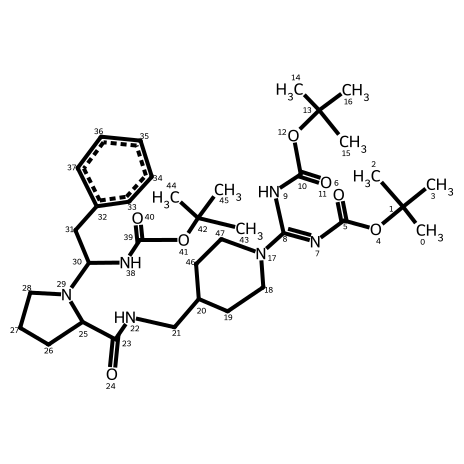 CC(C)(C)OC(=O)/N=C(\NC(=O)OC(C)(C)C)N1CCC(CNC(=O)C2CCCN2C(Cc2ccccc2)NC(=O)OC(C)(C)C)CC1